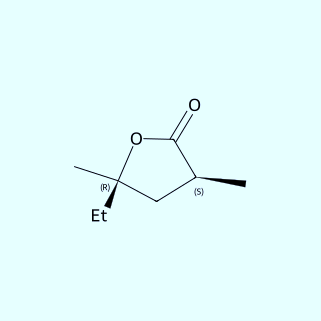 CC[C@]1(C)C[C@H](C)C(=O)O1